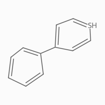 C1=CC(c2ccccc2)=CC=[SH]1